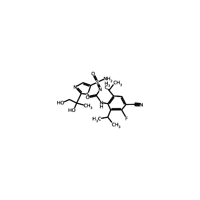 CC(C)c1cc(C#N)c(F)c(C(C)C)c1NC(=O)N=S(N)(=O)c1cnc(C(C)(O)CO)s1